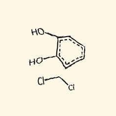 ClCCl.Oc1ccccc1O